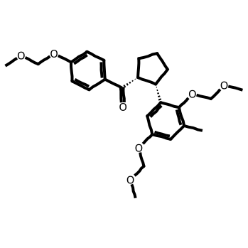 COCOc1ccc(C(=O)[C@@H]2CCC[C@@H]2c2cc(OCOC)cc(C)c2OCOC)cc1